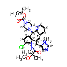 COC(C)(C)C(=O)N[C@H](C1=Cc2cccnc2[C@@H](N2CCN(C(=O)OC(C)C)CC2)c2ccc(Cl)cc21)c1cncn1C